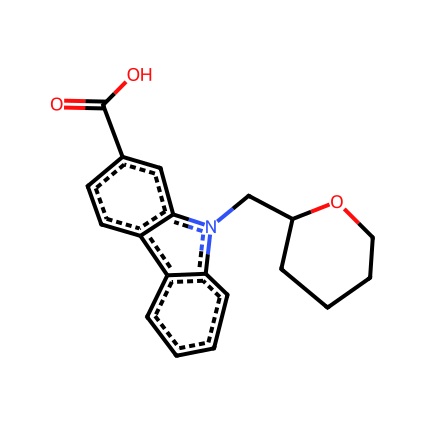 O=C(O)c1ccc2c3ccccc3n(CC3CCCCO3)c2c1